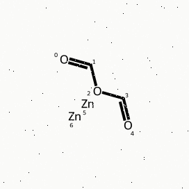 O=COC=O.[Zn].[Zn]